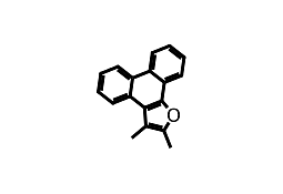 Cc1oc2c3ccccc3c3ccccc3c2c1C